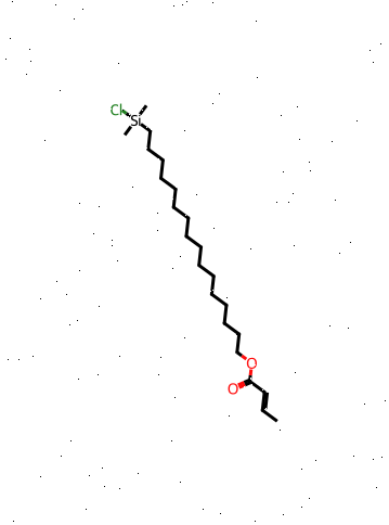 CC=CC(=O)OCCCCCCCCCCCCCCCC[Si](C)(C)Cl